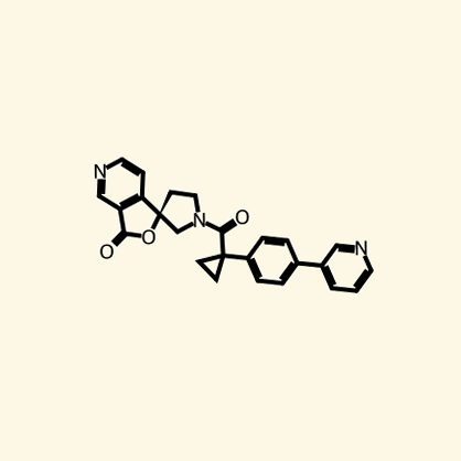 O=C1O[C@]2(CCN(C(=O)C3(c4ccc(-c5cccnc5)cc4)CC3)C2)c2ccncc21